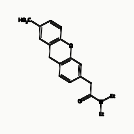 CCN(CC)C(=O)Cc1ccc2c(c1)Oc1ccc(C(=O)O)cc1C2